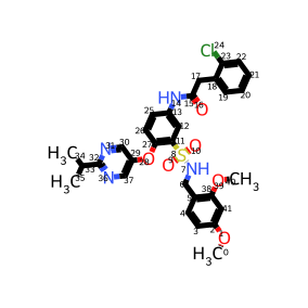 COc1ccc(CNS(=O)(=O)c2cc(NC(=O)Cc3ccccc3Cl)ccc2Oc2cnc(C(C)C)nc2)c(OC)c1